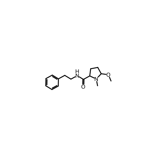 COC1CCC(C(=O)NCCc2ccccc2)N1C